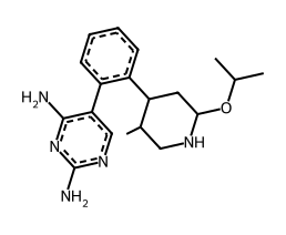 CC(C)OC1CC(c2ccccc2-c2cnc(N)nc2N)C(C)CN1